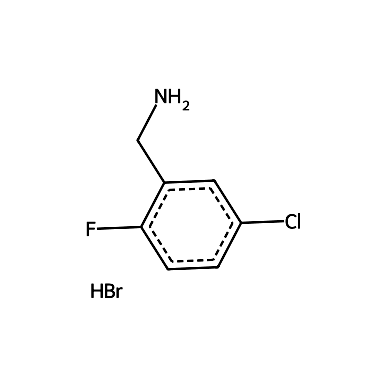 Br.NCc1cc(Cl)ccc1F